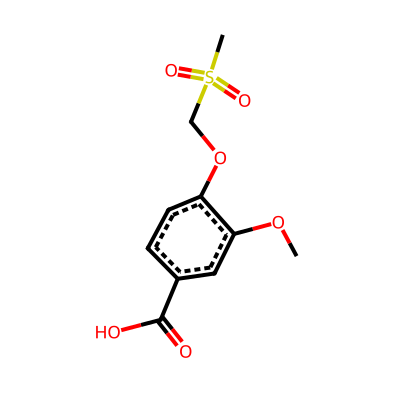 COc1cc(C(=O)O)ccc1OCS(C)(=O)=O